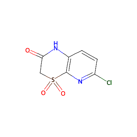 O=C1CS(=O)(=O)c2nc(Cl)ccc2N1